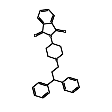 O=C1c2ccccc2C(=O)N1C1CCN(CCC(c2ccccc2)c2ccccc2)CC1